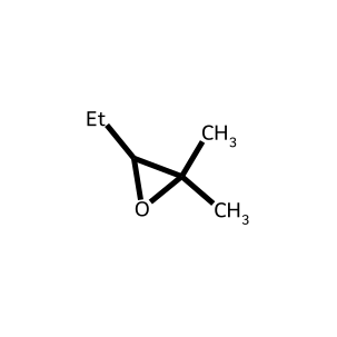 [CH2]CC1OC1(C)C